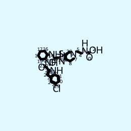 O=C(O)NCCN1CCc2nc(C(=O)NC3CCCCC3NC(=O)c3cc4cc(Cl)ccc4[nH]3)sc2C1